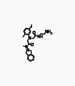 Cc1ccc(I)cc1N(CC(=O)NCCN)CC(=O)N(C)N1Cc2ccccc2C1